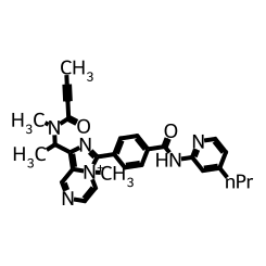 CC#CC(=O)N(C)C(C)C1=C2C=NC=C[N+]2(C)C(c2ccc(C(=O)Nc3cc(CCC)ccn3)cc2)=N1